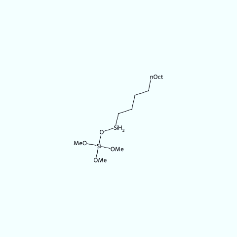 CCCCCCCCCCCC[SiH2]O[Si](OC)(OC)OC